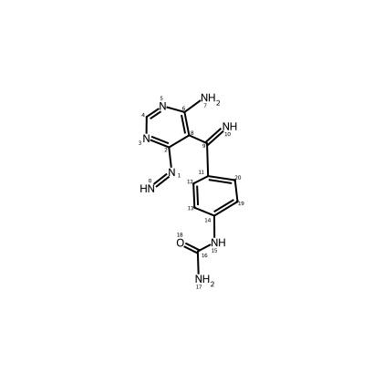 N=Nc1ncnc(N)c1C(=N)c1ccc(NC(N)=O)cc1